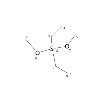 [CH2]C[Si](CC)(OC)OC